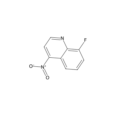 O=[N+]([O-])c1ccnc2c(F)cccc12